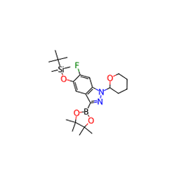 CC1(C)OB(c2nn(C3CCCCO3)c3cc(F)c(O[Si](C)(C)C(C)(C)C)cc23)OC1(C)C